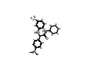 CN(C)c1ccc(C(Nc2cccc(C(F)(F)F)c2)C(=O)NC2CCCCC2)cc1